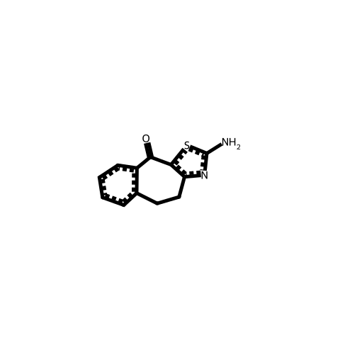 Nc1nc2c(s1)C(=O)c1ccccc1CC2